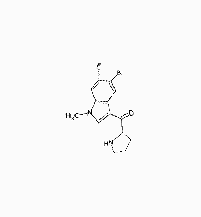 Cn1cc(C(=O)C2CCCN2)c2cc(Br)c(F)cc21